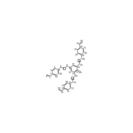 C=Cc1ccc(COCc2cc(COCc3ccc(C=C)cc3)c(C)c(COCc3ccc(C=C)cc3)c2)cc1